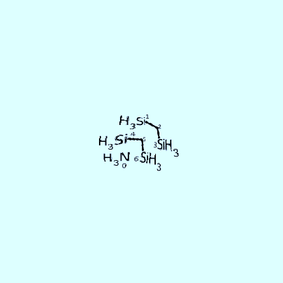 N.[SiH3]C[SiH3].[SiH3]C[SiH3]